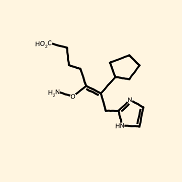 NOC(CCCC(=O)O)=C(Cc1ncc[nH]1)C1CCCC1